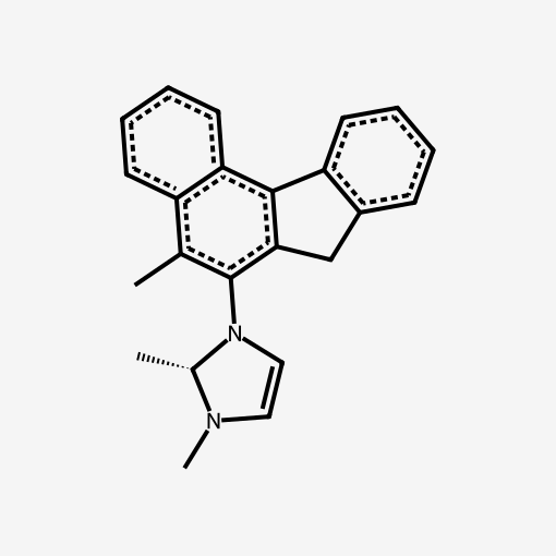 Cc1c(N2C=CN(C)[C@@H]2C)c2c(c3ccccc13)-c1ccccc1C2